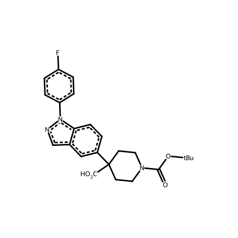 CC(C)(C)OC(=O)N1CCC(C(=O)O)(c2ccc3c(cnn3-c3ccc(F)cc3)c2)CC1